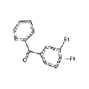 CCc1ccc(C(=O)c2ccccc2)cc1CC